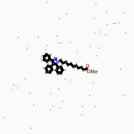 COC(=O)CCC/C=C/CCCCCn1nc(-c2ccccc2)c(-c2ccccc2)c1-c1ccccc1